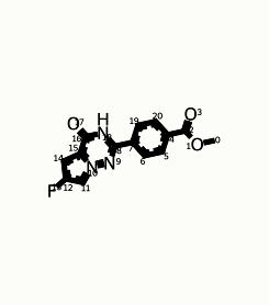 COC(=O)c1ccc(-c2nn3cc(F)cc3c(=O)[nH]2)cc1